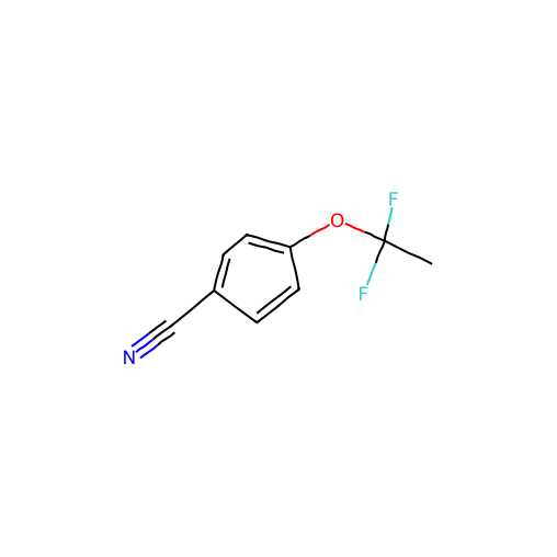 CC(F)(F)Oc1ccc(C#N)cc1